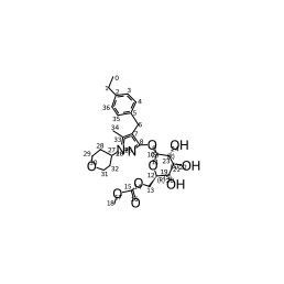 CCc1ccc(Cc2c(O[C@@H]3O[C@H](COC(=O)OC)[C@@H](O)[C@H](O)[C@H]3O)nn(C3CCOCC3)c2C)cc1